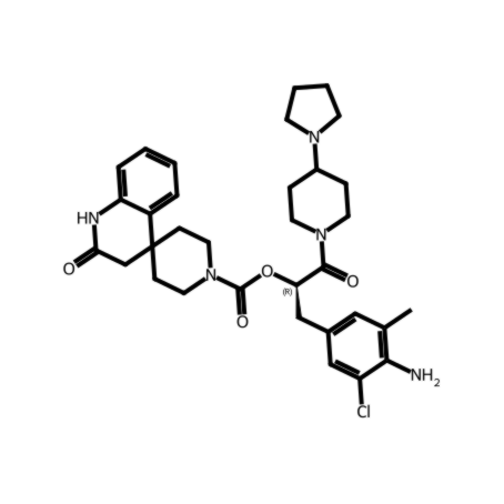 Cc1cc(C[C@@H](OC(=O)N2CCC3(CC2)CC(=O)Nc2ccccc23)C(=O)N2CCC(N3CCCC3)CC2)cc(Cl)c1N